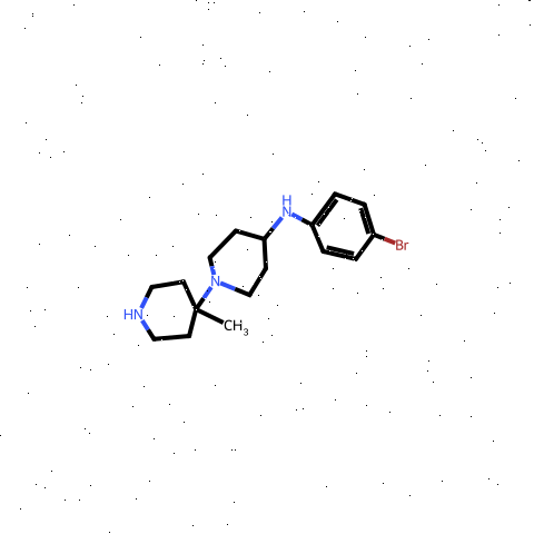 CC1(N2CCC(Nc3ccc(Br)cc3)CC2)CCNCC1